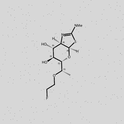 CNC1=N[C@@H]2[C@@H](O)[C@H](O)[C@@H]([C@H](C)OCCF)O[C@@H]2S1